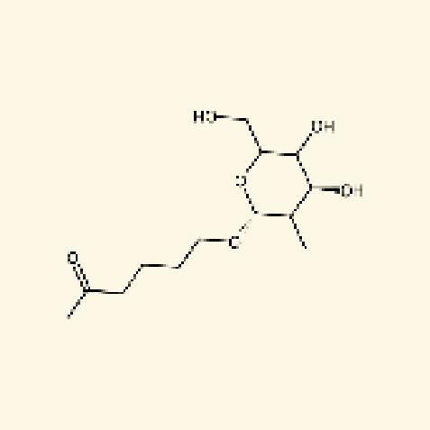 CC(=O)CCCCO[C@@H]1OC(CO)C(O)[C@@H](O)C1C